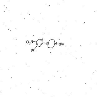 CC(C)(C)N1CCN(c2ccc([N+](=O)[O-])c(Br)c2)CC1